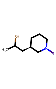 CC(S)C[C@H]1CCCN(I)C1